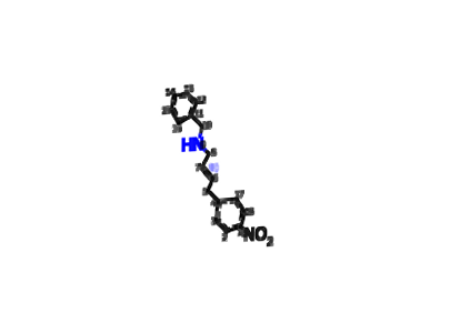 O=[N+]([O-])c1ccc(C/C=C/CNCc2ccccc2)cc1